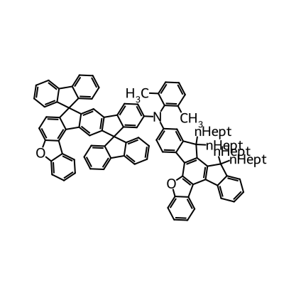 CCCCCCCC1(CCCCCCC)c2cc(N(c3ccc4c(c3)C3(c5ccccc5-c5ccccc53)c3cc5c(cc3-4)C3(c4ccccc4-c4ccccc43)c3ccc4oc6ccccc6c4c3-5)c3c(C)cccc3C)ccc2-c2c1c1c(c3c2oc2ccccc23)-c2ccccc2C1(CCCCCCC)CCCCCCC